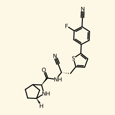 N#Cc1ccc(-c2ccc(C[C@@H](C#N)NC(=O)[C@H]3N[C@@H]4CCC3C4)s2)cc1F